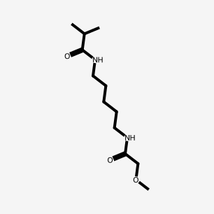 COCC(=O)NCCCCCNC(=O)C(C)C